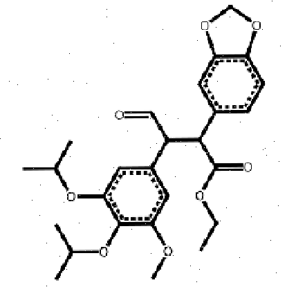 CCOC(=O)C(c1ccc2c(c1)OCO2)C(C=O)c1cc(OC)c(OC(C)C)c(OC(C)C)c1